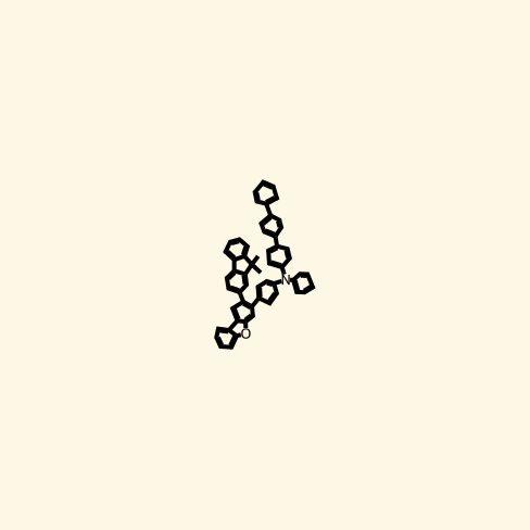 CC1(C)c2ccccc2-c2ccc(-c3cc4c(cc3-c3ccc(N(c5ccccc5)c5ccc(-c6ccc(-c7ccccc7)cc6)cc5)cc3)oc3ccccc34)cc21